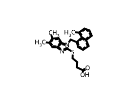 Cc1cc2nc(SCCCC(=O)O)n(Cc3cccc4cccc(C)c34)c2cc1C